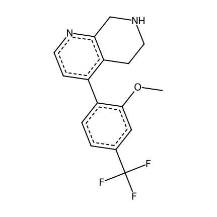 COc1cc(C(F)(F)F)ccc1-c1ccnc2c1CCNC2